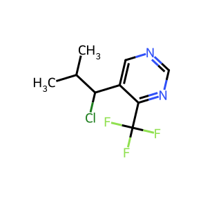 CC(C)C(Cl)c1cncnc1C(F)(F)F